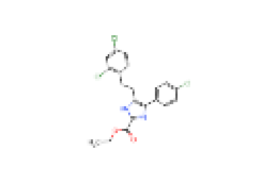 CCOC(=O)c1nc(-c2ccc(Cl)cc2)c(CCc2ccc(Cl)cc2Cl)[nH]1